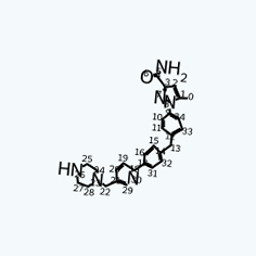 Cc1cc(C(N)=O)nn1-c1ccc(Cc2ccc(-c3ccc(CN4CCNCC4)cn3)cc2)cc1